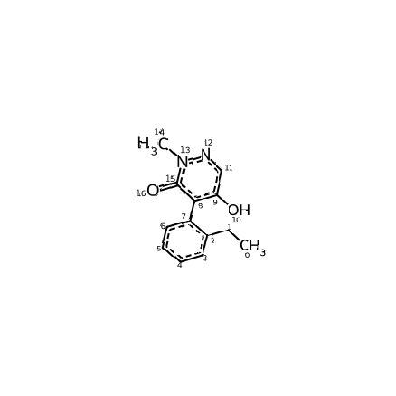 CCc1ccccc1-c1c(O)cnn(C)c1=O